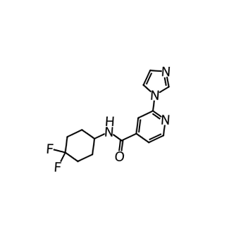 O=C(NC1CCC(F)(F)CC1)c1ccnc(-n2ccnc2)c1